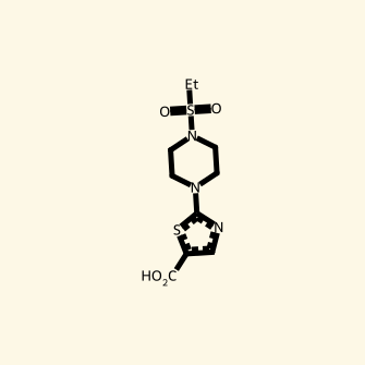 CCS(=O)(=O)N1CCN(c2ncc(C(=O)O)s2)CC1